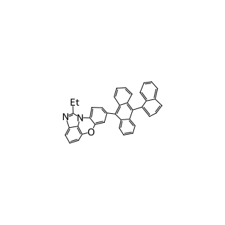 CCc1nc2cccc3c2n1-c1ccc(-c2c4ccccc4c(-c4cccc5ccccc45)c4ccccc24)cc1O3